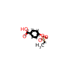 CCS(=O)(=O)Oc1ccc(C(=O)O)cc1